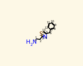 NCCc1nc(Cc2ccccc2)cs1